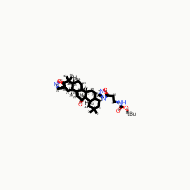 CC1(C)CC[C@]2(c3noc(CCNC(=O)OC(C)(C)C)n3)CC[C@]3(C)[C@H](C(=O)C=C4[C@@]5(C)Cc6cnoc6C(C)(C)[C@@H]5CC[C@]43C)[C@@H]2C1